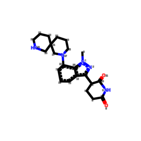 Cn1nc(C2CCC(=O)NC2=O)c2cccc(N3CCCC4(CCCNC4)C3)c21